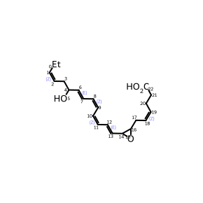 CC/C=C\CC(O)/C=C/C=C\C=C/C=C/C1OC1C/C=C\CCC(=O)O